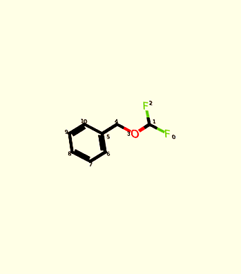 FC(F)OCc1ccccc1